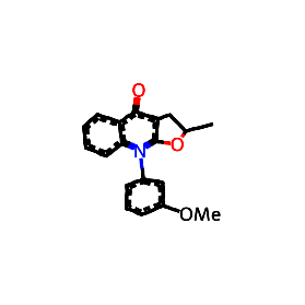 COc1cccc(-n2c3c(c(=O)c4ccccc42)CC(C)O3)c1